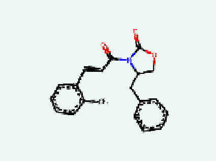 O=C(C=Cc1ccccc1C(F)(F)F)N1C(=O)OCC1Cc1ccccc1